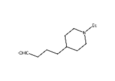 CCN1CCC(CCC[C]=O)CC1